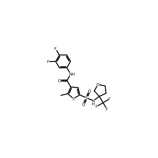 Cc1sc(S(=O)(=O)NC2(C(F)(F)F)CCOC2)cc1C(=O)Nc1ccc(F)c(F)c1